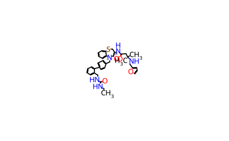 CCNC(=O)NCc1ccccc1-c1ccc(CN2C(=O)[C@H](NC(=O)CC(C)(C)NCc3ccco3)CSc3ccccc32)cc1